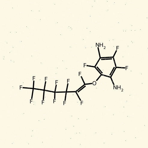 Nc1c(F)c(F)c(N)c(OC(F)=C(F)C(F)(F)C(F)(F)C(F)(F)C(F)(F)F)c1F